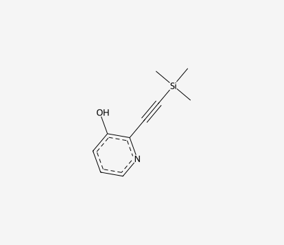 C[Si](C)(C)C#Cc1ncccc1O